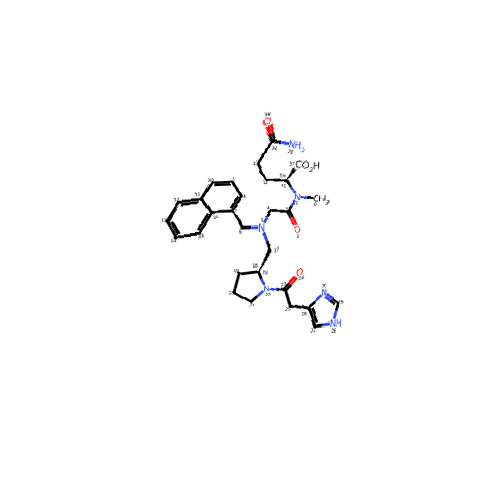 CN(C(=O)CN(Cc1cccc2ccccc12)C[C@@H]1CCCN1C(=O)Cc1c[nH]cn1)[C@@H](CCC(N)=O)C(=O)O